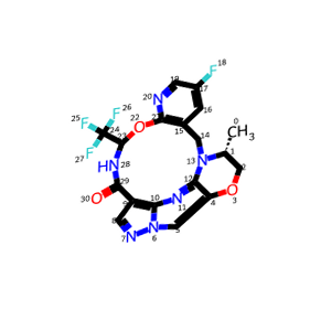 C[C@@H]1COc2cn3ncc4c3nc2N1Cc1cc(F)cnc1OC(C(F)(F)F)NC4=O